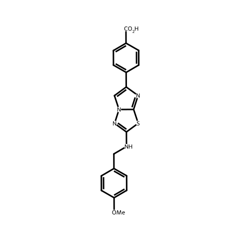 COc1ccc(CNc2nn3cc(-c4ccc(C(=O)O)cc4)nc3s2)cc1